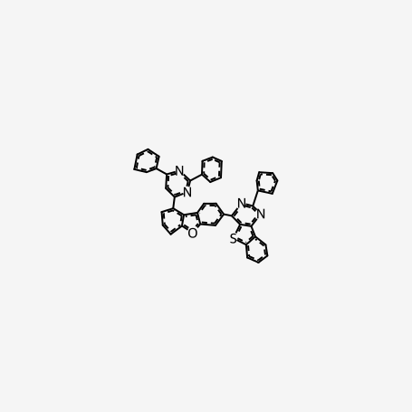 c1ccc(-c2cc(-c3cccc4oc5cc(-c6nc(-c7ccccc7)nc7c6sc6ccccc67)ccc5c34)nc(-c3ccccc3)n2)cc1